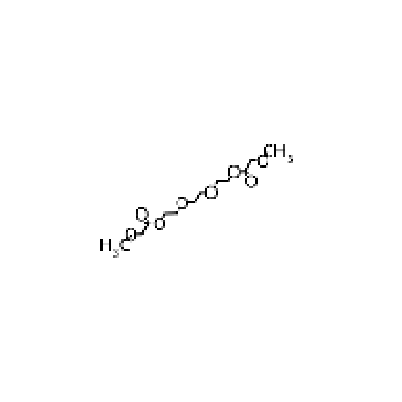 COCC(=O)OCCOCCOCCOC(=O)COC